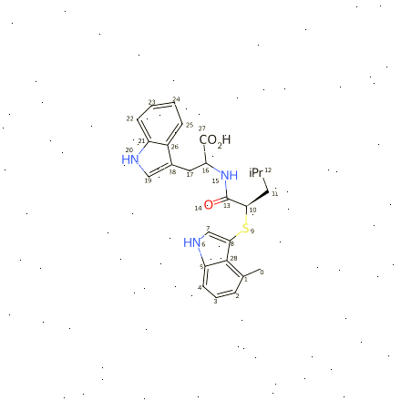 Cc1cccc2[nH]cc(S[C@H](CC(C)C)C(=O)NC(Cc3c[nH]c4ccccc34)C(=O)O)c12